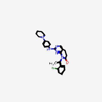 CC(c1ccccc1Br)n1c(=O)ccc2cnc(Nc3ccc(N4CCCCC4)cc3)nc21